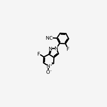 N#Cc1cccc(F)c1-n1cc2c[n+]([O-])cc(F)c2n1